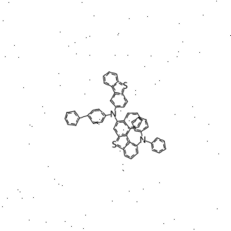 c1ccc(-c2ccc(N(c3ccc4sc5ccccc5c4c3)c3cc4sc5cccc(N(c6ccccc6)c6ccccc6)c5c4c4ccccc34)cc2)cc1